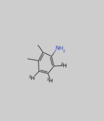 [2H]c1c([2H])c(C)c(C)c(N)c1[2H]